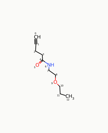 C#CCCC(=O)NCCOCCC